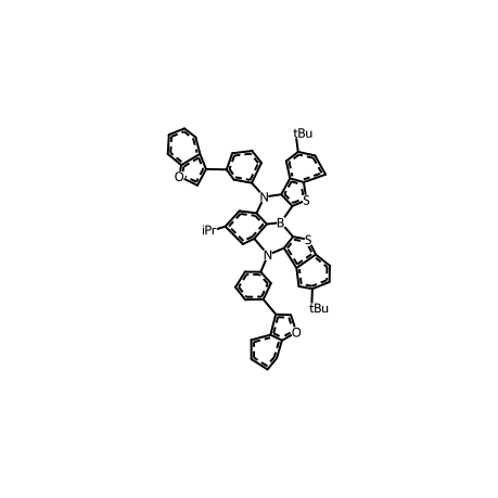 CC(C)c1cc2c3c(c1)N(c1cccc(-c4coc5ccccc45)c1)c1c(sc4ccc(C(C)(C)C)cc14)B3c1sc3ccc(C(C)(C)C)cc3c1N2c1cccc(-c2coc3ccccc23)c1